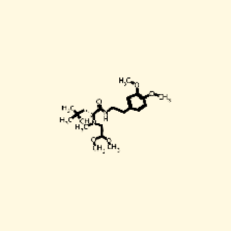 COc1ccc(CCNC(=O)[C@@H](CC(C)(C)C)N(C)CC(OC)OC)cc1OC